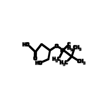 CC(C)(C)[Si](C)(C)OC(CO)CC(=O)O